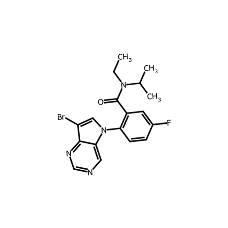 CCN(C(=O)c1cc(F)ccc1-n1cc(Br)c2ncncc21)C(C)C